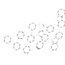 c1cccc(-c2cc(S(c3ccccc3)(c3ccccc3)c3cccc(-c4ccccc4)c3)cc(-c3ccccc3)c2-n2c3c(c4cc(-n5c6ccccc6c6cccc(-c7ccccc7-c7cccc8c7sc7ccccc78)c65)ccc42)C=CCC3)c#1